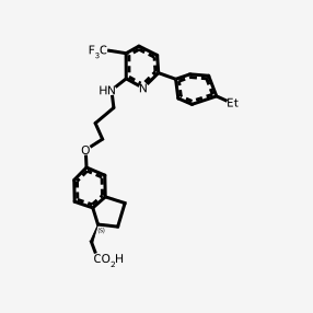 CCc1ccc(-c2ccc(C(F)(F)F)c(NCCCOc3ccc4c(c3)CC[C@H]4CC(=O)O)n2)cc1